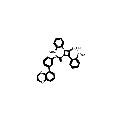 COc1ccccc1C1C(C(=O)O)[C@H](c2ccccc2OC)[C@@H]1C(=O)Oc1cccc(-c2cccc3c2OCCO3)c1